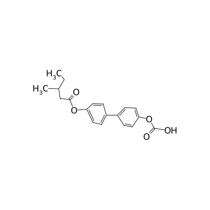 CCC(C)CC(=O)Oc1ccc(-c2ccc(OC(=O)O)cc2)cc1